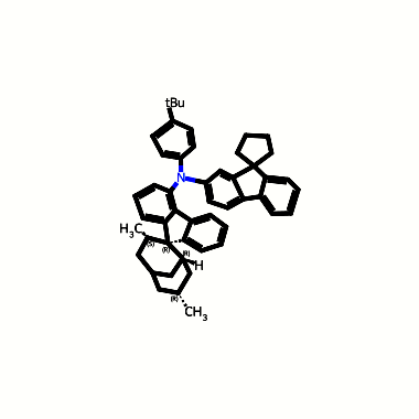 C[C@@H]1CC2C[C@@H](C1)[C@@]1(c3ccccc3-c3c(N(c4ccc(C(C)(C)C)cc4)c4ccc5c(c4)C4(CCCC4)c4ccccc4-5)cccc31)[C@@H](C)C2